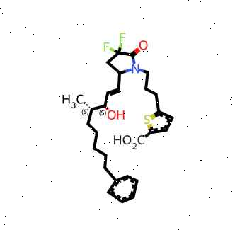 C[C@@H](CCCCCc1ccccc1)[C@H](O)C=CC1CC(F)(F)C(=O)N1CCCc1ccc(C(=O)O)s1